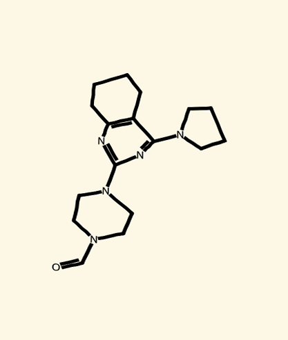 O=CN1CCN(c2nc3c(c(N4CCCC4)n2)CCCC3)CC1